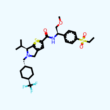 CCS(=O)(=O)c1ccc([C@H](COC)NC(=O)c2cc3c(s2)[C@H](C(C)C)N(C[C@H]2CC[C@H](C(F)(F)F)CC2)C3)cc1